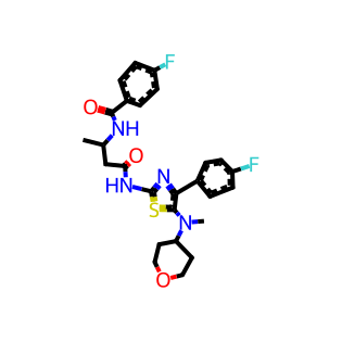 CC(CC(=O)Nc1nc(-c2ccc(F)cc2)c(N(C)C2CCOCC2)s1)NC(=O)c1ccc(F)cc1